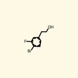 OCCc1ccc(Br)c(F)c1